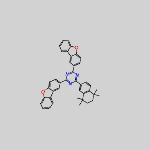 CC1(C)CCC(C)(C)c2cc(-c3nc(-c4ccc5oc6ccccc6c5c4)nc(-c4ccc5oc6ccccc6c5c4)n3)ccc21